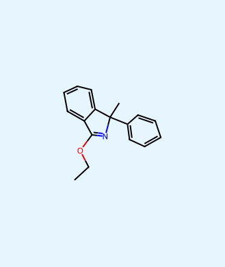 CCOC1=NC(C)(c2ccccc2)c2ccccc21